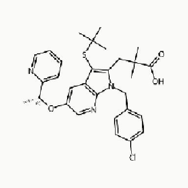 C[C@@H](Oc1cnc2c(c1)c(SC(C)(C)C)c(CC(C)(C)C(=O)O)n2Cc1ccc(Cl)cc1)c1ccccn1